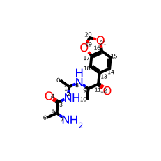 CC(NC(=O)C(C)N)NC(C)C(=O)c1ccc2c(c1)OCO2